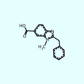 Cn1c(Cc2ccccc2)nc2ccc(C(=O)O)cc21